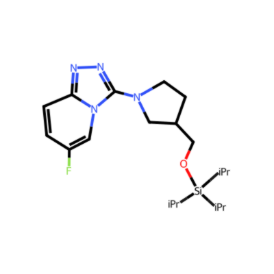 CC(C)[Si](OCC1CCN(c2nnc3ccc(F)cn23)C1)(C(C)C)C(C)C